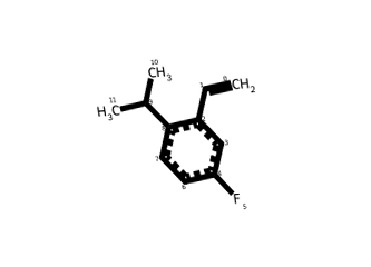 C=Cc1cc(F)ccc1C(C)C